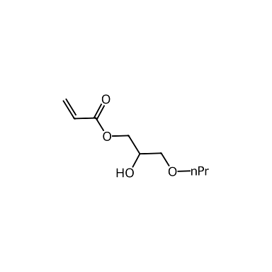 C=CC(=O)OCC(O)COCCC